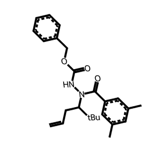 C=CCC(N(NC(=O)OCc1ccccc1)C(=O)c1cc(C)cc(C)c1)C(C)(C)C